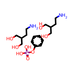 NCCC(CO)CO.NCCC(CO)CO.O=P(O)(O)Oc1ccccc1